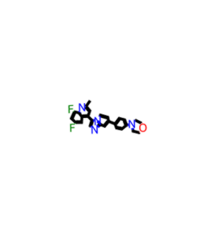 Cc1cc(-c2cnc3cc(-c4ccc(N5CCOCC5)cc4)ccn23)c2cc(F)cc(F)c2n1